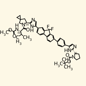 COC(=O)N[C@H](C(=O)N1CC2(CC2)C[C@H]1c1ncc(-c2ccc3c(c2)C(F)(F)c2cc(-c4ccc(-c5cnc([C@@H]6CCCN6C(=O)OC(C)(C)C)[nH]5)cc4)ccc2-3)[nH]1)C(C)C